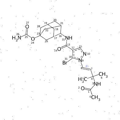 CC(=O)NC(C)(C)/C=C/n1ncc(C(=O)NC2C3CC4CC2CC(OC(N)=O)(C4)C3)c1Br